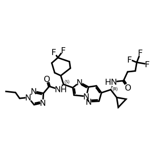 CCCn1cnc(C(=O)N[C@H](c2cn3ncc([C@H](NC(=O)CCC(F)(F)F)C4CC4)cc3n2)C2CCC(F)(F)CC2)n1